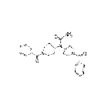 NC(=O)N(C1CCN(C(=O)c2ccccc2)CC1)C1CCN(C(=O)c2ccccc2)CC1